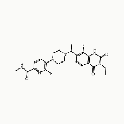 CCn1c(=O)[nH]c2c(F)c(C(C)N3CCN(c4ccc(C(=O)NC)nc4F)CC3)ccc2c1=O